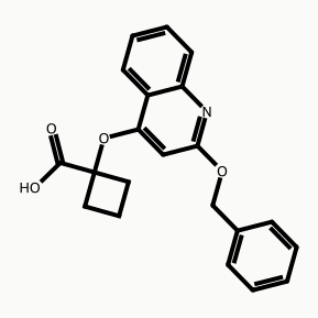 O=C(O)C1(Oc2cc(OCc3ccccc3)nc3ccccc23)CCC1